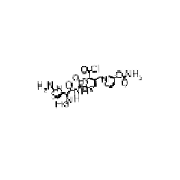 NC(=O)Oc1ccc[n+](CC2=C(C(=O)Cl)N3C(=O)[C@@H](NC(=O)C(=NO)c4csc(N)n4)[C@@H]3SC2)c1